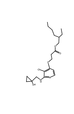 CCCCC(CC)COC(=O)CCSc1ccnc(NCC2(O)CC2)c1Cl